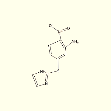 Nc1cc(Sc2ncc[nH]2)ccc1[N+](=O)[O-]